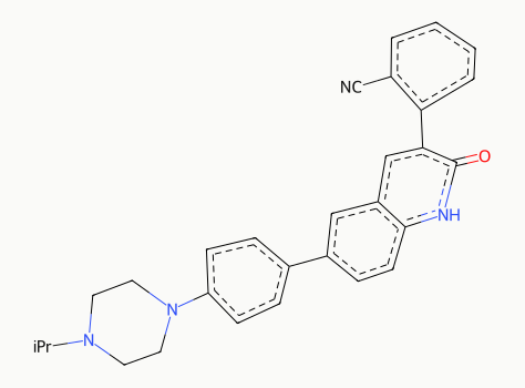 CC(C)N1CCN(c2ccc(-c3ccc4[nH]c(=O)c(-c5ccccc5C#N)cc4c3)cc2)CC1